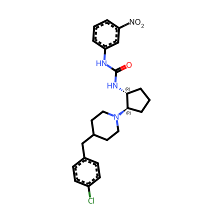 O=C(Nc1cccc([N+](=O)[O-])c1)N[C@@H]1CCC[C@H]1N1CCC(Cc2ccc(Cl)cc2)CC1